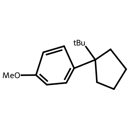 COc1ccc(C2(C(C)(C)C)CCCC2)cc1